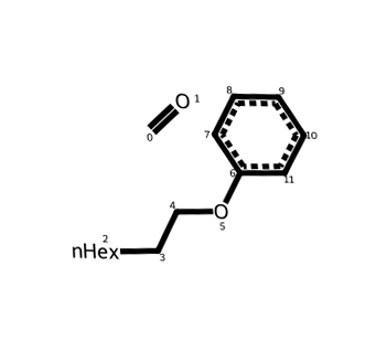 C=O.CCCCCCCCOc1ccccc1